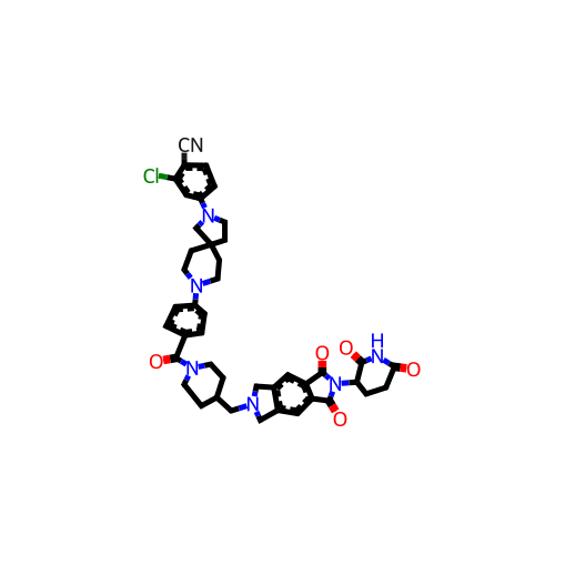 N#Cc1ccc(N2CCC3(CCN(c4ccc(C(=O)N5CCC(CN6Cc7cc8c(cc7C6)C(=O)N(C6CCC(=O)NC6=O)C8=O)CC5)cc4)CC3)C2)cc1Cl